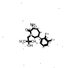 CC(C)(O)CN1C[C@H](c2cccc(F)c2F)CC[C@@H](N)C1=O